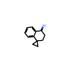 N=C1CCC2(CC2)c2ccccc21